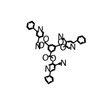 N#Cc1cc(-c2ccccc2)ncc1OC(=O)c1cc(C(=O)Oc2cnc(-c3ccccc3)cc2C#N)cc(C(=O)Oc2cnc(-c3ccccc3)cc2C#N)c1